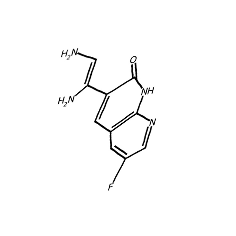 N/C=C(\N)c1cc2cc(F)cnc2[nH]c1=O